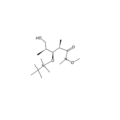 CON(C)C(=O)[C@H](C)[C@@H](O[Si](C)(C)C(C)(C)C)[C@@H](C)CO